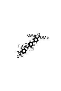 COC(=O)c1ccc(-c2ccc([C@@H](C)[C@@](O)(c3ccc4oc(=O)n(C)c4c3)C(F)(F)F)c(Cl)c2)cc1OC